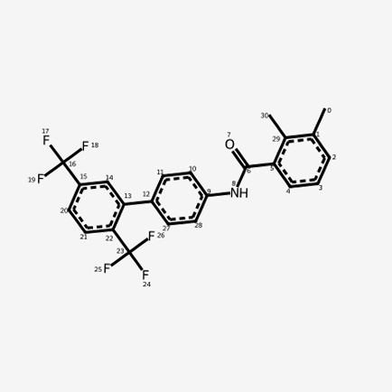 Cc1cccc(C(=O)Nc2ccc(-c3cc(C(F)(F)F)ccc3C(F)(F)F)cc2)c1C